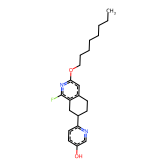 CCCCCCCCOc1cc2c(c(F)n1)CC(c1ccc(O)cn1)CC2